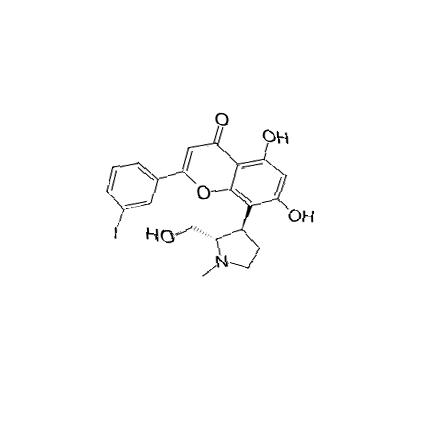 CN1CC[C@H](c2c(O)cc(O)c3c(=O)cc(-c4cccc(I)c4)oc23)[C@H]1CO